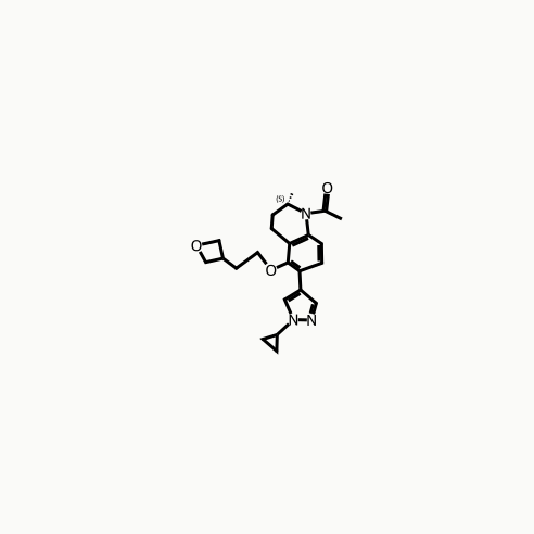 CC(=O)N1c2ccc(-c3cnn(C4CC4)c3)c(OCCC3COC3)c2CC[C@@H]1C